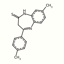 Cc1ccc(C2=Nc3ccc(C)cc3NC(=S)C2)cc1